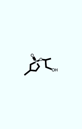 CC1CCP(=O)(OC(C)CO)C1